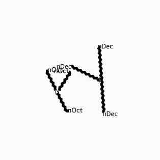 CCCCCCCC/C=C\CCCCCCCCN(CCCCCCCC/C=C\CCCCCCCC)CCCCCCCC/C=C\CCCCCCCC.CCCCCCCCCCCCCCCCCCCCCCCCN(CCCCCCCCCCCCCCCCCCCCCCCC)CCCCCCCCCCCCCCCCCCCCCCCC